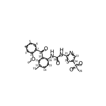 COc1ccccc1C(=O)c1cc(C)ccc1NC(=O)Nc1ncc(S(C)(=O)=O)s1